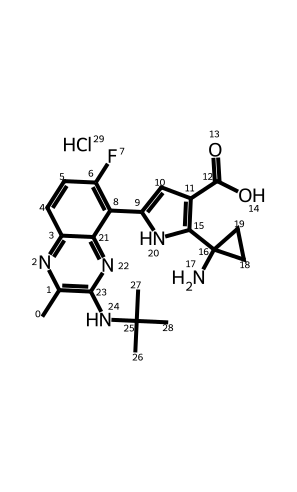 Cc1nc2ccc(F)c(-c3cc(C(=O)O)c(C4(N)CC4)[nH]3)c2nc1NC(C)(C)C.Cl